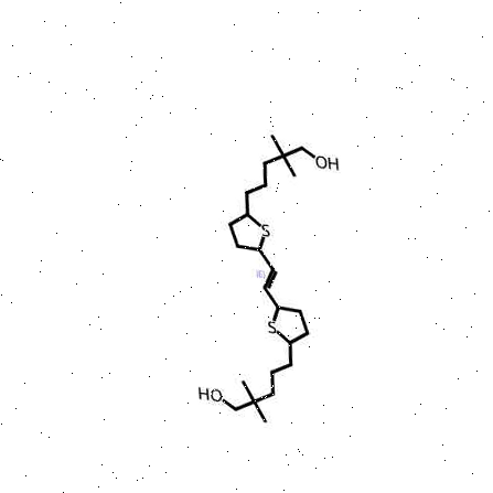 CC(C)(CO)CCCC1CCC(/C=C/C2CCC(CCCC(C)(C)CO)S2)S1